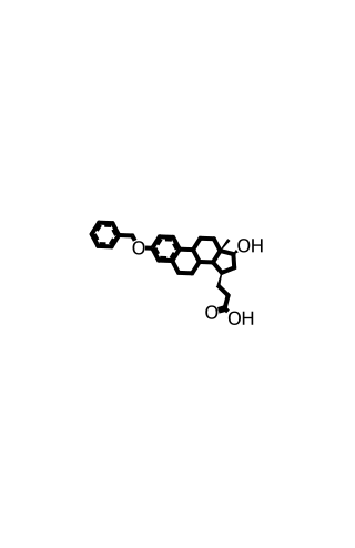 C[C@]12CCC3c4ccc(OCc5ccccc5)cc4CCC3C1[C@H](CCC(=O)O)C[C@@H]2O